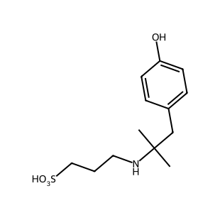 CC(C)(Cc1ccc(O)cc1)NCCCS(=O)(=O)O